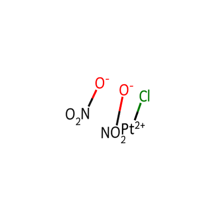 O=[N+]([O-])[O-].O=[N+]([O-])[O-].[Cl][Pt+2]